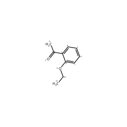 [CH2]C(=O)c1ccccc1OCC